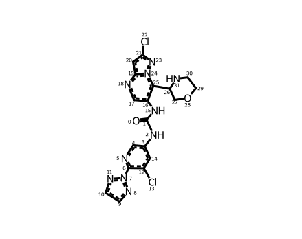 O=C(Nc1cnc(-n2nccn2)c(Cl)c1)Nc1cnc2cc(Cl)nn2c1C1COCCN1